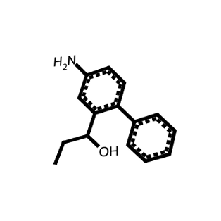 CCC(O)c1cc(N)ccc1-c1ccccc1